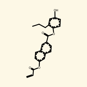 C=CC(=O)Oc1ccc2cc(C(=O)Oc3ccc(O)cc3CCC)ccc2c1